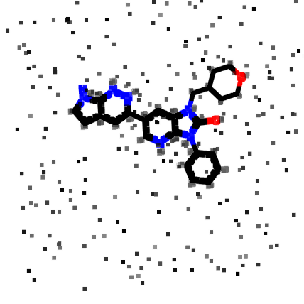 O=c1n(CC2CCOCC2)c2cc(-c3cc4cc[nH]c4nn3)cnc2n1-c1ccccc1